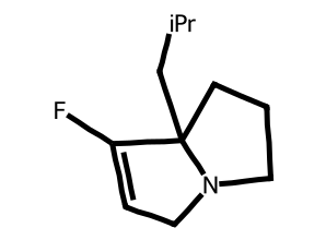 CC(C)CC12CCCN1CC=C2F